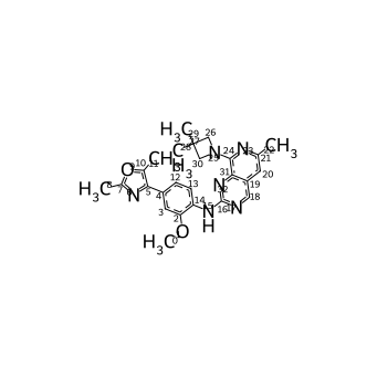 COc1cc(-c2nc(C)oc2C)ccc1Nc1ncc2cc(C)nc(N3CC(C)(C)C3)c2n1